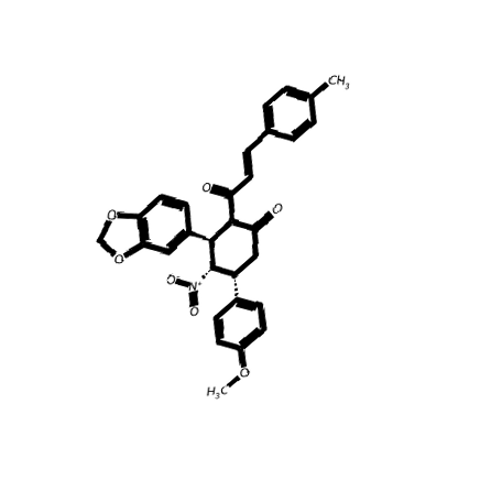 COc1ccc([C@H]2CC(=O)C(C(=O)/C=C/c3ccc(C)cc3)[C@H](c3ccc4c(c3)OCO4)[C@H]2[N+](=O)[O-])cc1